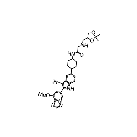 COc1cc(-c2[nH]c3ccc(C4CCC(NC(=O)CNCC5COC(C)(C)O5)CC4)cc3c2C(C)C)cn2ncnc12